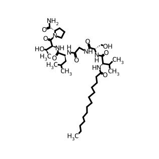 CCCCCCCCCCCCCC(=O)N[C@H](C(=O)N[C@@H](CO)C(=O)NCC(=O)N[C@@H](CC(C)C)C(=O)N[C@H](C(=O)N1CCC[C@H]1C(N)=O)[C@@H](C)O)C(C)C